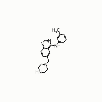 Cc1cccc(Nc2ncnc3ccc(CN4CCNCC4)cc23)c1